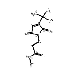 CCCCC(C)(C)C1=CC(=O)N(CCC(=O)NC(C)C)C1=O